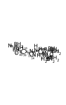 BC(B)(C#N)NC(=O)c1ccc(-c2ccnc(Nc3ccc(N4C(B)(B)C(B)(B)OC(B)(B)C4(B)B)cc3)n2)cc1